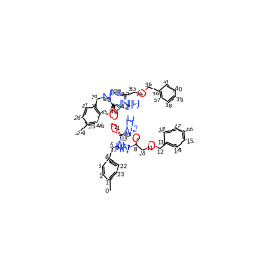 Cc1ccc(CN(NC(=O)COCc2ccccc2)C(N)=O)cc1.Cc1ccc(Cn2nc(COCc3ccccc3)[nH]c2=O)cc1